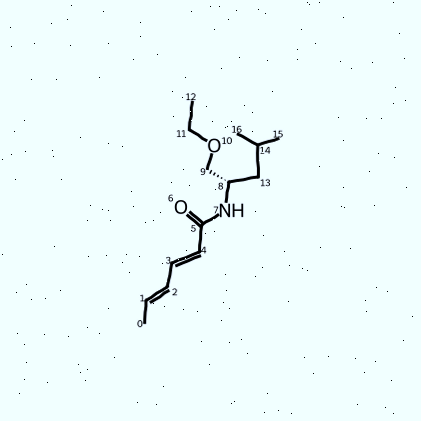 C/C=C/C=C/C(=O)N[C@H](COCC)CC(C)C